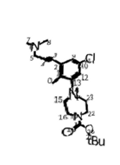 Cc1c(C#CCN(C)C)cc(Cl)cc1N1CCN(C(=O)OC(C)(C)C)CC1